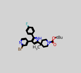 CC(C)(C)OC(=O)N1CCC(C)(c2cc(-c3ccnc(Br)c3)c(-c3ccc(F)cc3)[nH]2)CC1